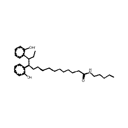 CCCCCNC(=O)CCCCCCCCCCC(c1ccccc1O)C(CC)c1ccccc1O